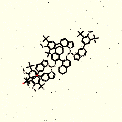 COc1c(C(C)(C)C)cc(-c2ccc3ccn(P(Oc4ccc5c(c4-c4c(OP(n6ccc7ccc(-c8cc(C(C)(C)C)c(OC)c(C(C)(C)C)c8)cc76)n6ccc7ccc(-c8cc(C(C)(C)C)c(OC)c(C(C)(C)C)c8)cc76)ccc6c4CCCC6)CCCC5)n4ccc5ccc(-c6cc(C(C)(C)C)c(OC)c(C(C)(C)C)c6)cc54)c3c2)cc1C(C)(C)C